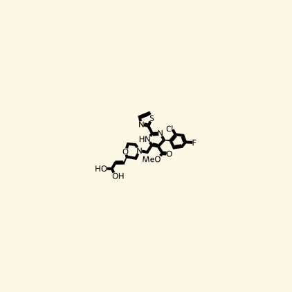 COC(=O)C1=C(CN2CCO[C@H](/C=C/C(O)O)C2)NC(c2nccs2)=N[C@H]1c1ccc(F)cc1Cl